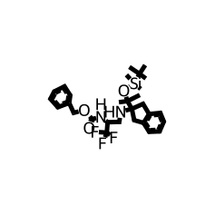 CC(C)(O[Si](C)(C)C(C)(C)C)C1(NCC(NC(=O)OCc2ccccc2)C(F)(F)F)Cc2ccccc2C1